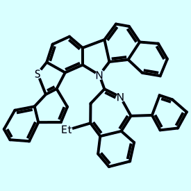 CCC1=c2ccccc2=C(c2ccccc2)N=C(n2c3c4ccccc4ccc3c3ccc4sc5c6ccccc6ccc5c4c32)C1